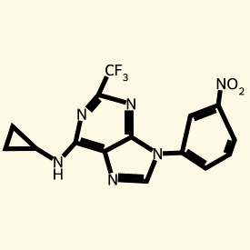 O=[N+]([O-])c1cccc(-n2cnc3c(NC4CC4)nc(C(F)(F)F)nc32)c1